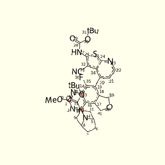 COc1nc(N2C3CCC2CN(C(=O)OC(C)(C)C)C3)c2c3c(c(-c4ccnc5sc(NC(=O)OC(C)(C)C)c(C#N)c45)c(F)c2n1)COC3